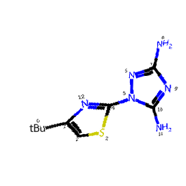 CC(C)(C)c1csc(-n2nc(N)nc2N)n1